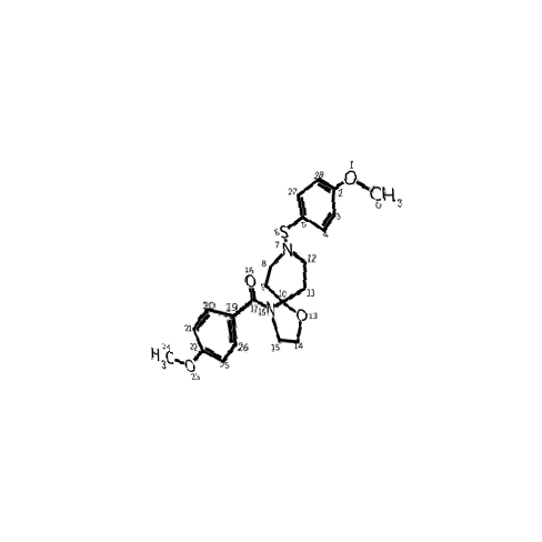 COc1ccc(SN2CCC3(CC2)OCCN3C(=O)c2ccc(OC)cc2)cc1